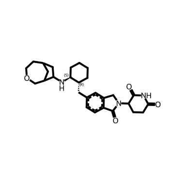 O=C1CCC(N2Cc3cc(C[C@H]4CCCC[C@@H]4NC4CC5CCOCC4C5)ccc3C2=O)C(=O)N1